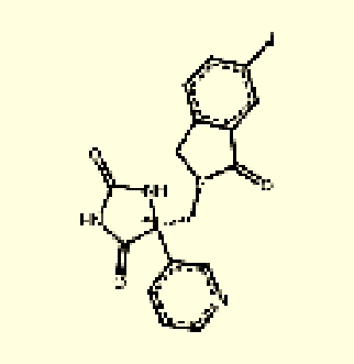 O=C1NC(=O)[C@](CN2Cc3ccc(I)cc3C2=O)(c2cccnc2)N1